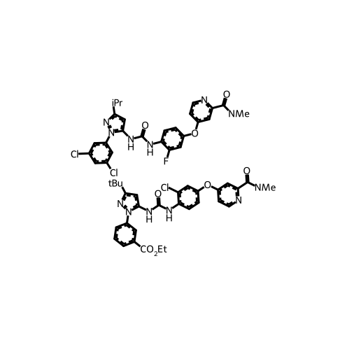 CCOC(=O)c1cccc(-n2nc(C(C)(C)C)cc2NC(=O)Nc2ccc(Oc3ccnc(C(=O)NC)c3)cc2Cl)c1.CNC(=O)c1cc(Oc2ccc(NC(=O)Nc3cc(C(C)C)nn3-c3cc(Cl)cc(Cl)c3)c(F)c2)ccn1